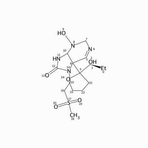 CC[C@H](O)C1(C23C=NCN(O)C2NC(=O)N3CCS(C)(=O)=O)CCCO1